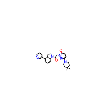 CC1(C)CCN(c2ccc(=O)n(CC(=O)N3CCC4C(c5cccnc5)=CC=CC43)n2)CC1